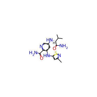 Cc1cc(Nc2cc(N[C@@H](C(N)=O)C(C)C)cnc2C(N)=O)sn1